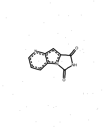 O=C1NC(=O)n2c1cc1ncccc12